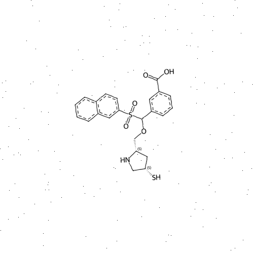 O=C(O)c1cccc(C(OC[C@@H]2C[C@H](S)CN2)S(=O)(=O)c2ccc3ccccc3c2)c1